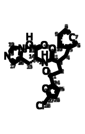 O=C(CC(Cc1ccccc1)C(=O)N[C@H](Cc1cnc[nH]1)C(=O)O)c1ccc(Cl)o1